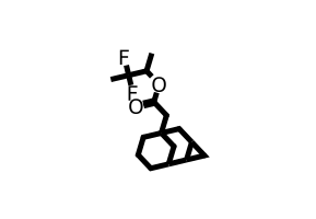 CC(OC(=O)CC12CCCC(C1)C1CC1C2)C(C)(F)F